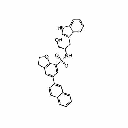 O=S(=O)(N[C@@H](CO)Cc1c[nH]c2ccccc12)c1cc(-c2ccc3ccccc3c2)cc2c1OCC2